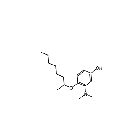 CCCCCCC(C)Oc1ccc(O)cc1N(C)C